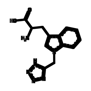 NC(Cc1cn(Cc2nnn[nH]2)c2ccccc12)C(=O)O